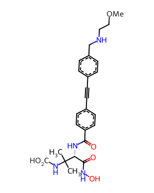 COCCNCc1ccc(C#Cc2ccc(C(=O)N[C@H](C(=O)NO)C(C)(C)NC(=O)O)cc2)cc1